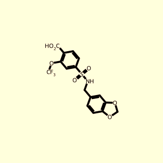 O=C(O)c1ccc(S(=O)(=O)NCc2ccc3c(c2)OCO3)cc1OC(F)(F)F